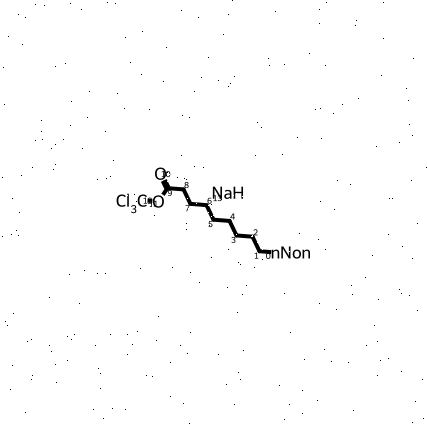 CCCCCCCCCCCCCCCCCC(=O)OC(Cl)(Cl)Cl.[NaH]